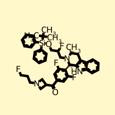 C[C@@H]1Cc2c([nH]c3ccccc23)[C@@H](c2c(F)cc(C(=O)C3CN(CCCF)C3)cc2F)N1CC(F)CO[Si](c1ccccc1)(c1ccccc1)C(C)(C)C